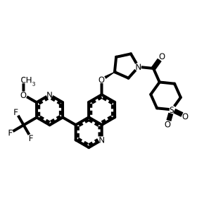 COc1ncc(-c2ccnc3ccc(O[C@H]4CCN(C(=O)C5CCS(=O)(=O)CC5)C4)cc23)cc1C(F)(F)F